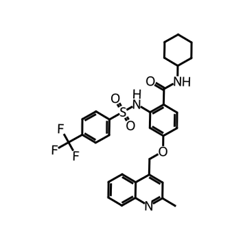 Cc1cc(COc2ccc(C(=O)NC3CCCCC3)c(NS(=O)(=O)c3ccc(C(F)(F)F)cc3)c2)c2ccccc2n1